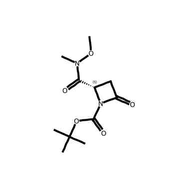 CON(C)C(=O)[C@@H]1CC(=O)N1C(=O)OC(C)(C)C